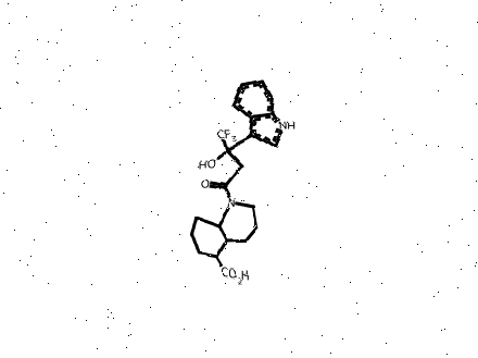 O=C(O)C1CCCC2C1CCCN2C(=O)CC(O)(c1c[nH]c2ccccc12)C(F)(F)F